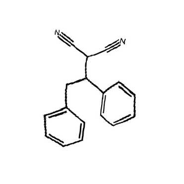 N#CC(C#N)C(Cc1ccccc1)c1ccccc1